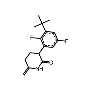 C=C1CCC(c2cc(F)cc(C(C)(C)C)c2F)C(=O)N1